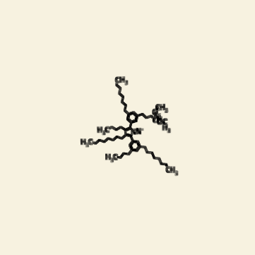 CCCCCCCCC1=C(c2cc(CCCC)cc(CCCCCCCC)c2)[N+](=[N-])C(c2cc(CCCC)cc(CCCCCCCC)c2)=C1CCCC.C[O][Ni][O]C